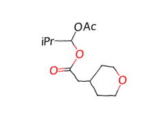 CC(=O)OC(OC(=O)CC1CCOCC1)C(C)C